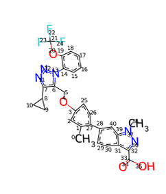 Cc1cc(OCc2c(C3CC3)nnn2-c2ccccc2OC(F)(F)F)ccc1-c1ccc2c(C(=O)O)nn(C)c2c1